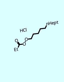 CCCCCCCCCCCCOOC(=O)CC.Cl